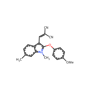 COc1ccc(Oc2c(C=C(C#N)C#N)c3ccc(C)cc3n2C)cc1